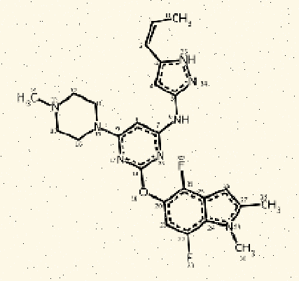 C/C=C\c1cc(Nc2cc(N3CCN(C)CC3)nc(Oc3cc(F)c4c(cc(C)n4C)c3F)n2)n[nH]1